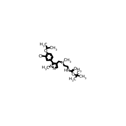 CC(C)Oc1ccc(-c2c(CN(C)CCNC(=O)OC(C)(C)C)cnn2C)cc1Cl